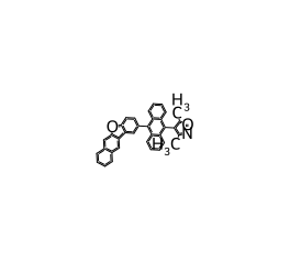 Cc1noc(C)c1-c1c2ccccc2c(-c2ccc3oc4cc5ccccc5cc4c3c2)c2ccccc12